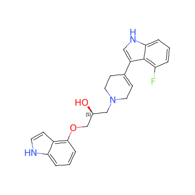 O[C@H](COc1cccc2[nH]ccc12)CN1CC=C(c2c[nH]c3cccc(F)c23)CC1